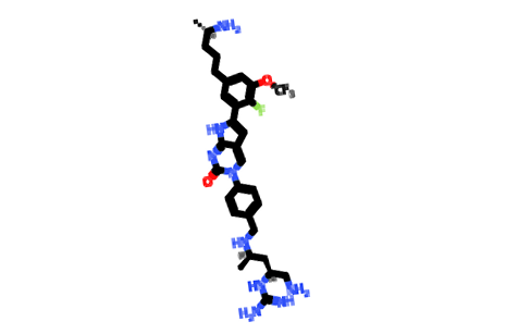 C[C@H](N)CCCc1cc(OC(F)(F)F)c(F)c(-c2cc3cn(-c4ccc(CN[C@H](C)C[C@@H](CN)NC(=N)N)cc4)c(=O)nc3[nH]2)c1